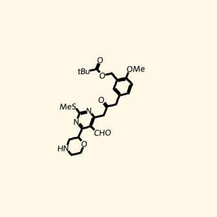 COc1ccc(CC(=O)Cc2nc(SC)nc(C3CNCCO3)c2C=O)cc1COC(=O)C(C)(C)C